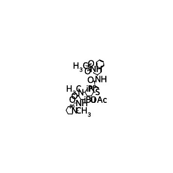 CCC(C)C(NC(=O)[C@H]1CCCCN1C)C(=O)N(C)C(CC(OC(C)=O)c1nc(C(=O)NC(CNS(C)(=O)=O)Cc2ccccc2)cs1)C(C)C